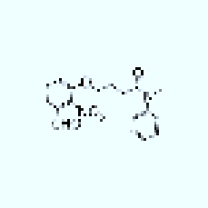 CN(C(=O)CCCOc1cccc(C=O)c1[N+](=O)[O-])c1ccccc1